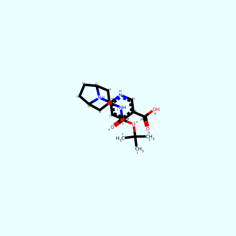 CC(C)(C)OC(=O)NC1CC2CCC(C1)N2c1ccc(C(=O)O)cn1